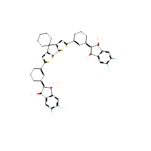 O=C1C(=C2C=C(c3cc4c(s3)-c3sc(C5=CC(=C6C(=O)c7cc(F)c(F)cc7C6=O)CCC5)cc3C43CCCCC3)CCC2)C(=O)c2cc(F)c(F)cc21